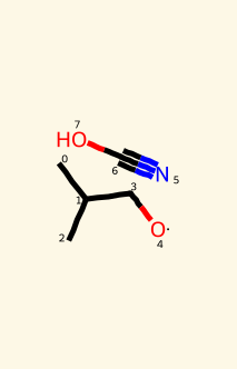 CC(C)C[O].N#CO